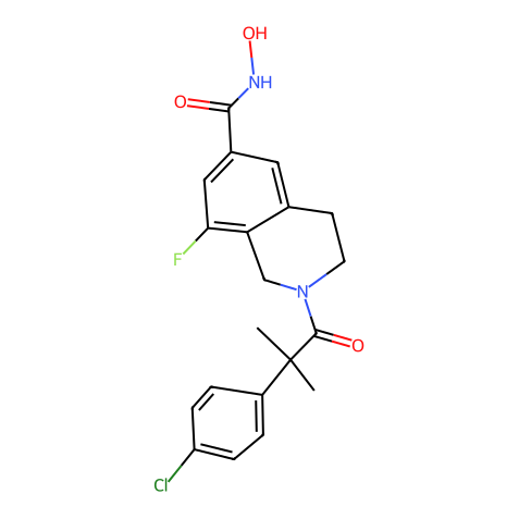 CC(C)(C(=O)N1CCc2cc(C(=O)NO)cc(F)c2C1)c1ccc(Cl)cc1